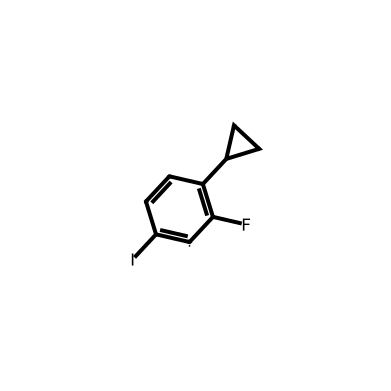 Fc1[c]c(I)ccc1C1CC1